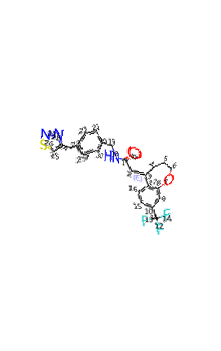 O=C(/C=C1\CCCOc2cc(C(F)(F)F)ccc21)NCc1ccc(-c2csnn2)cc1